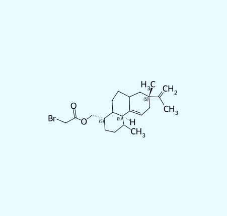 C=C(C)[C@]1(C)CC=C2C(CCC3[C@@H](COC(=O)CBr)CCC(C)[C@H]23)C1